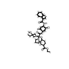 CCOC(=O)C1CCC(OC(C(=O)Cc2cc(Cl)c(NC(=O)c3csc4ccccc34)cc2F)(N2CCCC2)N2CC(CC)(OC)C2)CC1